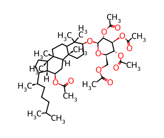 CC(=O)OC[C@H]1O[C@@H](O[C@H]2CC[C@@]3(C)C(CC[C@]4(C)[C@@H]3C[C@@H](OC(C)=O)[C@@H]3[C@@H]([C@H](C)CCCC(C)C)CC[C@@]34C)C2(C)C)[C@H](OC(C)=O)[C@@H](OC(C)=O)[C@@H]1OC(C)=O